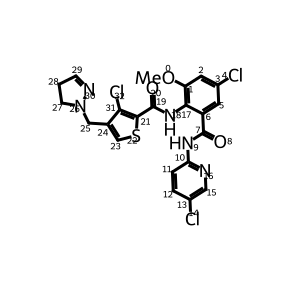 COc1cc(Cl)cc(C(=O)Nc2ccc(Cl)cn2)c1NC(=O)c1scc(CN2CCC=N2)c1Cl